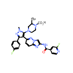 Cn1nc(-c2ccc(F)cc2)c(-c2ccc3nc(NC(=O)c4ccnc(F)c4)cn3n2)c1N1CCN(C(=O)O)C(C(C)(C)C)C1